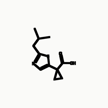 CC(C)Cc1ncc(C2(C(=O)O)CC2)s1